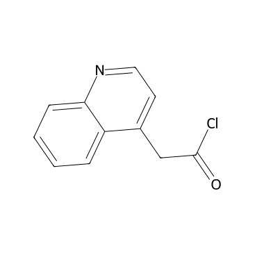 O=C(Cl)Cc1ccnc2ccccc12